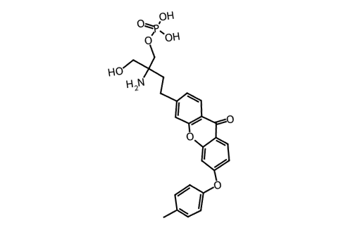 Cc1ccc(Oc2ccc3c(=O)c4ccc(CCC(N)(CO)COP(=O)(O)O)cc4oc3c2)cc1